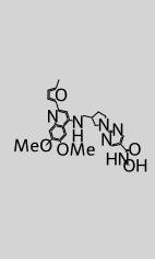 COc1cc2nc(-c3ccc(C)o3)cc(NCC3CCN(c4ncc(C(=O)NO)cn4)C3)c2cc1OC